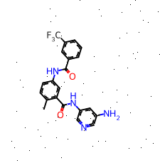 Cc1ccc(NC(=O)c2cccc(C(F)(F)F)c2)cc1C(=O)Nc1cncc(N)c1